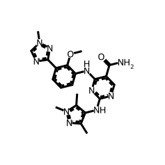 COc1c(Nc2nc(Nc3c(C)nn(C)c3C)ncc2C(N)=O)cccc1-c1ncn(C)n1